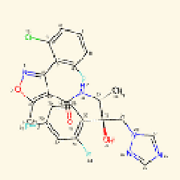 Cc1onc(-c2c(F)cccc2Cl)c1C(=O)N[C@H](C)[C@](O)(Cn1cncn1)c1ccc(F)cc1F